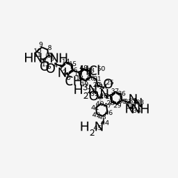 Cc1nc(C(=O)N[C@H]2CCCNC2=O)ccc1-c1ccc(C[C@H](N)C(=O)N(c2ccc(-c3nn[nH]n3)cc2)C(=O)[C@H]2CC[C@H](CN)CC2)cc1.Cl